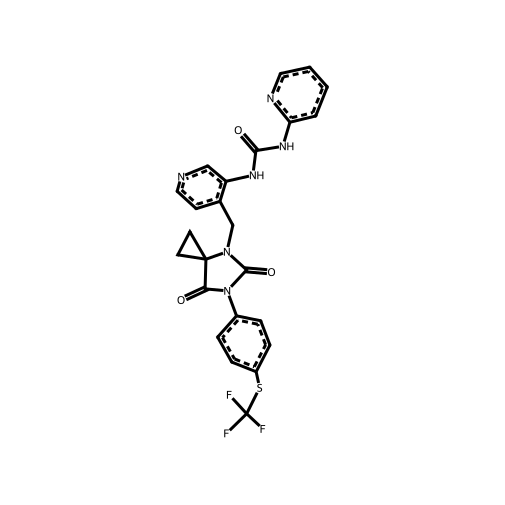 O=C(Nc1ccccn1)Nc1cnccc1CN1C(=O)N(c2ccc(SC(F)(F)F)cc2)C(=O)C12CC2